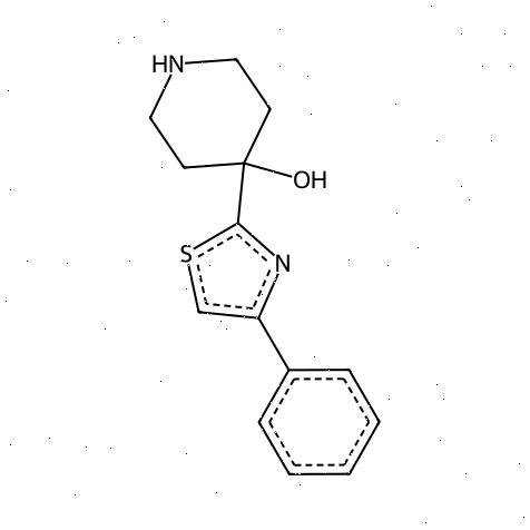 OC1(c2nc(-c3ccccc3)cs2)CCNCC1